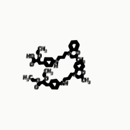 CCOC(=O)C(Cc1ccc(NCCCN2CC(C)Oc3ccccc32)cc1)OCC.CCOC(Cc1ccc(NCCCN2CC(C)Oc3ccccc32)cc1)C(=O)O